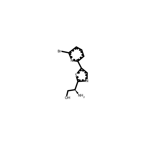 N[C@@H](CO)c1ncc(-c2cccc(Br)n2)s1